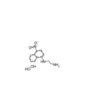 Cl.Cl.NCCNc1ccc([N+](=O)[O-])c2ccccc12